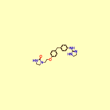 O=C1NCCN1CCOc1ccc(Cc2ccc(NC3=NCCN3)cc2)cc1